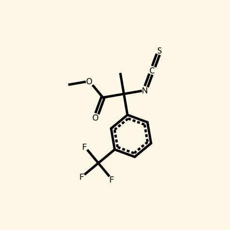 COC(=O)C(C)(N=C=S)c1cccc(C(F)(F)F)c1